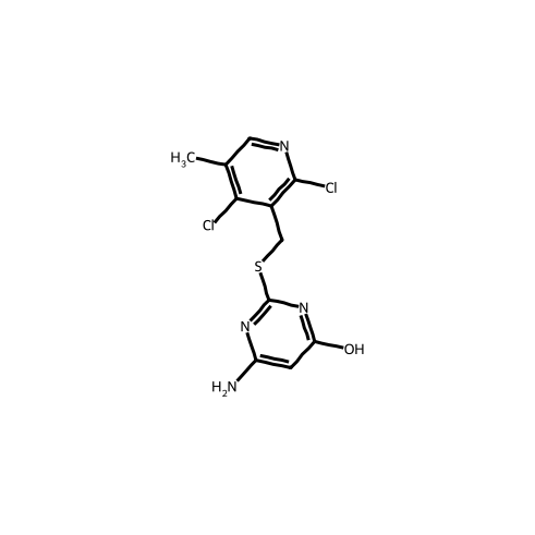 Cc1cnc(Cl)c(CSc2nc(N)cc(O)n2)c1Cl